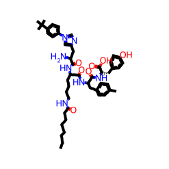 CCCCCCCC(=O)NCCCCC(NC(=O)C(N)Cc1cn(-c2ccc(C(C)(C)C)cc2)cn1)C(=O)NC(Cc1ccc(C)cc1)C(=O)N[C@@H](Cc1ccc(O)cc1)C(=O)O